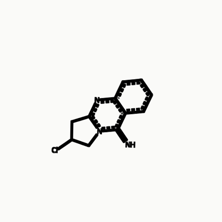 N=c1c2ccccc2nc2n1CC(Cl)C2